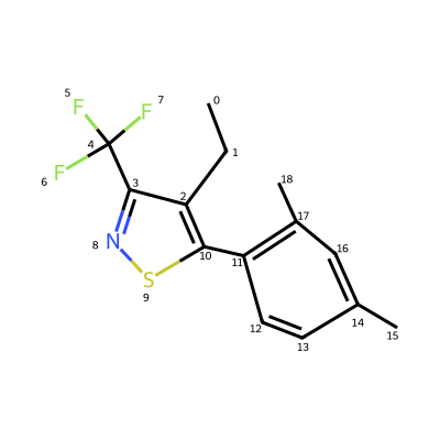 CCc1c(C(F)(F)F)nsc1-c1ccc(C)cc1C